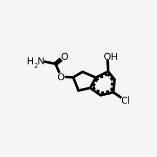 NC(=O)OC1Cc2cc(Cl)cc(O)c2C1